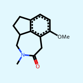 COc1ccc2c3c1CC(=O)N(C)CC3CC2